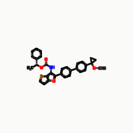 CC(OC(=O)Nc1c(-c2ccc(-c3ccc(C4(OC=O)CC4)cc3)cc2)oc2ccsc12)c1ccccc1